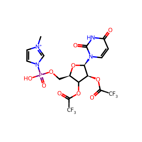 C[n+]1ccn(P(=O)(O)OC[C@H]2O[C@@H](n3ccc(=O)[nH]c3=O)[C@@H](OC(=O)C(F)(F)F)C2OC(=O)C(F)(F)F)c1